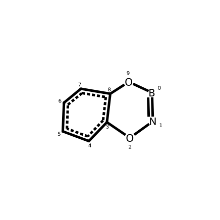 B1=NOc2ccccc2O1